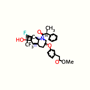 C/C=C1\C(=C/C2=C=C(F)C2(O)C(F)(F)F)CC[C@H](Oc2cccc(CC(=O)OC)c2)CN1C(=O)[C@@H](C)c1ccccc1